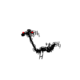 CN[C@@H](C)C(=O)N[C@H](C(=O)N1C[C@@H](NC(=O)CCOCCOCCOCCC(=O)N2CCn3nc(Nc4cc(-c5ccnc(-n6ncc7cc(C(C)(C)C)cc(F)c7c6=O)c5CO)cn(C)c4=O)cc3C2)C[C@H]1C(=O)N[C@@H]1CCCc2ccccc21)C1CCCCC1